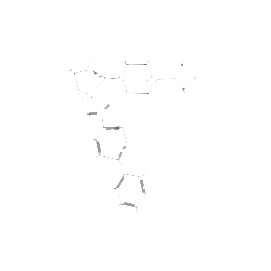 O=S(=O)(c1ccc(-c2ccccc2C(F)(F)F)cc1)N1CCN=C1N1CCN(C2CCC2)CC1